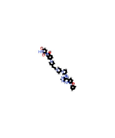 Nc1ncnc2c1c(-c1ccc(Oc3ccccc3)cc1)nn2C1CCCN(C2CCN(CCCC3CCN(c4ccc5c(c4)CN(C4CCC(=O)NC4=O)C5=O)CC3)CC2)C1